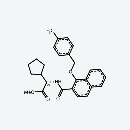 COC(=O)[C@@H](NC(=O)c1ccc2ccccc2c1OCc1ccc(C(F)(F)F)cc1)C1CCCC1